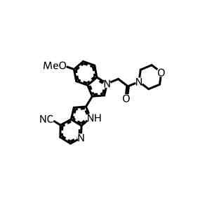 COc1ccc2c(c1)c(-c1cc3c(C#N)ccnc3[nH]1)cn2CC(=O)N1CCOCC1